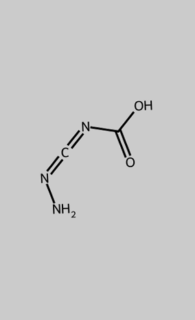 NN=C=NC(=O)O